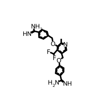 Cc1ncc(COc2ccc(C(=N)N)cc2)c(C(F)F)c1OCc1ccc(C(=N)N)cc1